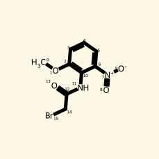 COc1cccc([N+](=O)[O-])c1NC(=O)CBr